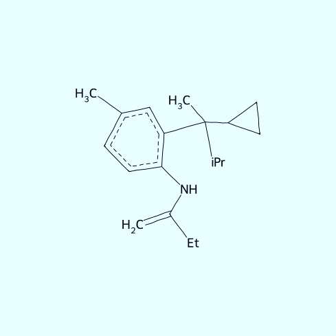 C=C(CC)Nc1ccc(C)cc1C(C)(C(C)C)C1CC1